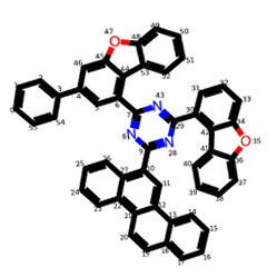 c1ccc(-c2cc(-c3nc(-c4cc5c6ccccc6ccc5c5ccccc45)nc(-c4cccc5oc6ccccc6c45)n3)c3c(c2)oc2ccccc23)cc1